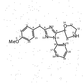 COc1ccc(Cc2nc(C3CNCCO3)n(-c3cnccn3)n2)cc1